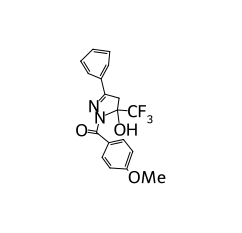 COc1ccc(C(=O)N2N=C(c3ccccc3)CC2(O)C(F)(F)F)cc1